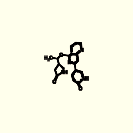 C[C@@H](Oc1nc(-c2ccc(=O)[nH]c2)cc2ncccc12)[C@H]1CNC(=O)C1